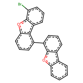 Brc1cccc2c1oc1cccc(-c3cccc4c3oc3ccccc34)c12